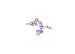 COCCc1cc(-c2nnc(C(F)(F)F)[nH]2)cnc1CN1CCC(c2cccc3c2OC(C)(c2ccc(Cl)cc2F)O3)CC1